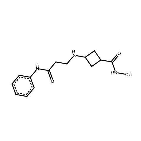 O=C(CCNC1CC(C(=O)NO)C1)Nc1ccccc1